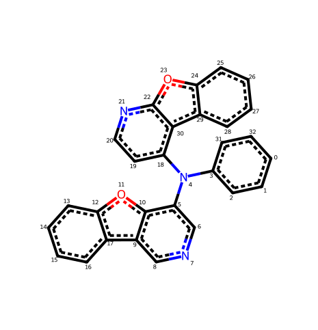 c1ccc(N(c2cncc3c2oc2ccccc23)c2ccnc3oc4ccccc4c23)cc1